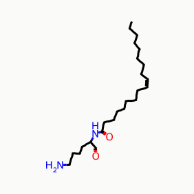 CCCCCCCC/C=C\CCCCCCCC(=O)NC(C=O)CCCCN